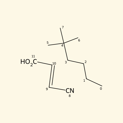 CCCCC(C)(C)C.N#CC=CC(=O)O